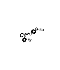 CCCCOc1ccc(OCCC[N+]2(Cc3ccccc3)CCCCC2)cc1.[Br-]